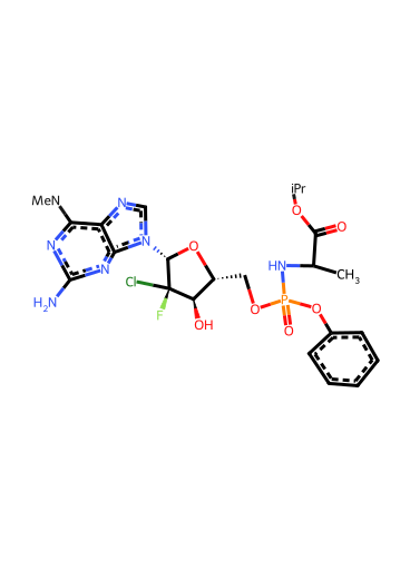 CNc1nc(N)nc2c1ncn2[C@@H]1O[C@H](COP(=O)(NC(C)C(=O)OC(C)C)Oc2ccccc2)[C@@H](O)[C@]1(F)Cl